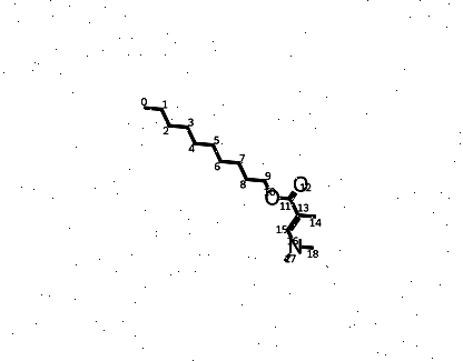 CCCCCCCCCCOC(=O)C(C)=CN(C)C